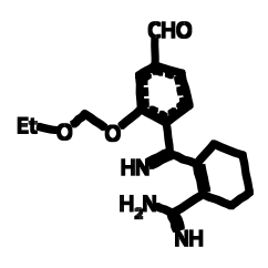 CCOCOc1cc(C=O)ccc1C(=N)C1=C(C(=N)N)CCCC1